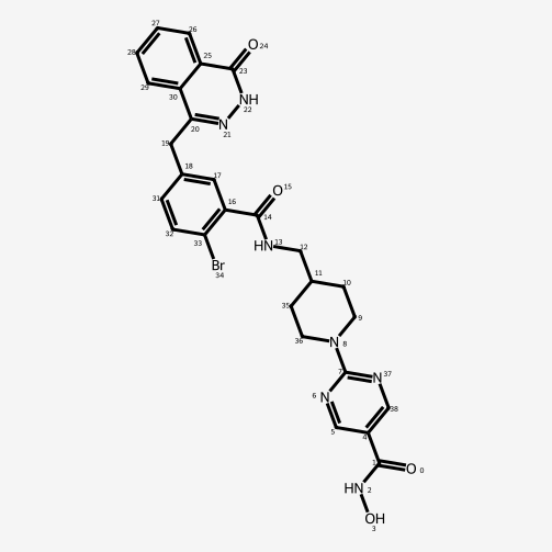 O=C(NO)c1cnc(N2CCC(CNC(=O)c3cc(Cc4n[nH]c(=O)c5ccccc45)ccc3Br)CC2)nc1